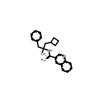 C=C(NC(C)(Cc1ccccc1)CC1CCC1)c1cnc2ccccc2c1